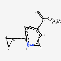 C=C(C(=O)OCC)c1ccnc(C2CC2)c1